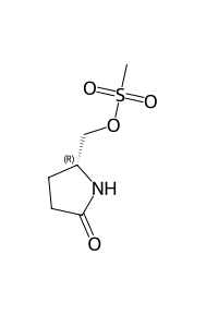 CS(=O)(=O)OC[C@H]1CCC(=O)N1